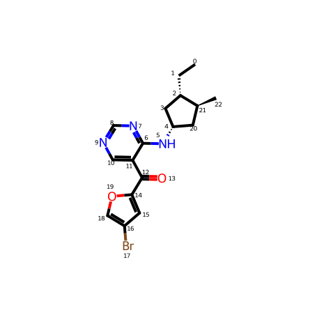 CC[C@H]1C[C@@H](Nc2ncncc2C(=O)c2cc(Br)co2)C[C@@H]1C